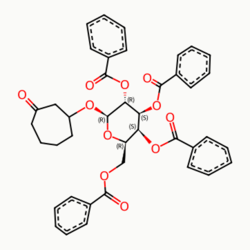 O=C1CCCCC(O[C@@H]2O[C@H](COC(=O)c3ccccc3)[C@H](OC(=O)c3ccccc3)[C@H](OC(=O)c3ccccc3)[C@H]2OC(=O)c2ccccc2)C1